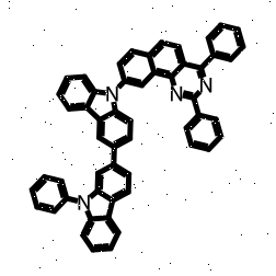 c1ccc(-c2nc(-c3ccccc3)c3ccc4ccc(-n5c6ccccc6c6cc(-c7ccc8c9ccccc9n(-c9ccccc9)c8c7)ccc65)cc4c3n2)cc1